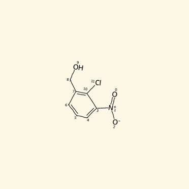 O=[N+]([O-])c1cccc([CH]O)c1Cl